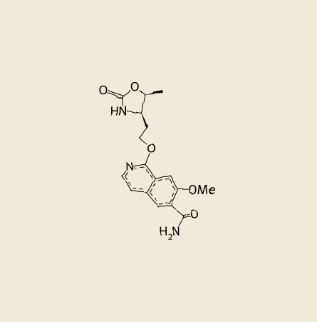 COc1cc2c(OCC[C@H]3NC(=O)O[C@H]3C)nccc2cc1C(N)=O